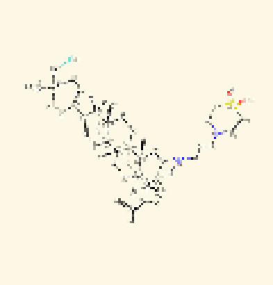 C=C(C)[C@@H]1CC[C@]2(CNCCCN3CCS(=O)(=O)CC3)CC[C@]3(C)[C@H](CC[C@@H]4[C@@]5(C)CC=C(C6=CCC(CF)(C(=O)O)CC6)C(C)(C)[C@@H]5CC[C@]43C)[C@@H]12